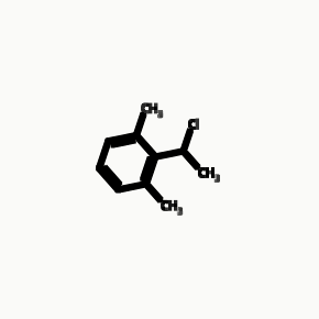 Cc1cccc(C)c1C(C)Cl